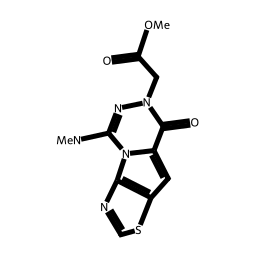 CNc1nn(CC(=O)OC)c(=O)c2cc3scnc3n12